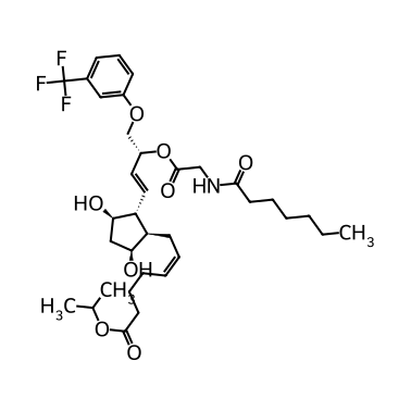 CCCCCCC(=O)NCC(=O)O[C@H](/C=C/[C@@H]1[C@@H](C/C=C\CCCC(=O)OC(C)C)[C@@H](O)C[C@H]1O)COc1cccc(C(F)(F)F)c1